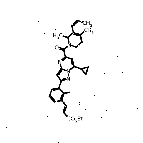 C/C=C\C1=C(C)CCN(C(=O)c2cc(C3CC3)n3nc(-c4cccc(/C=C/C(=O)OCC)c4F)cc3n2)C1C